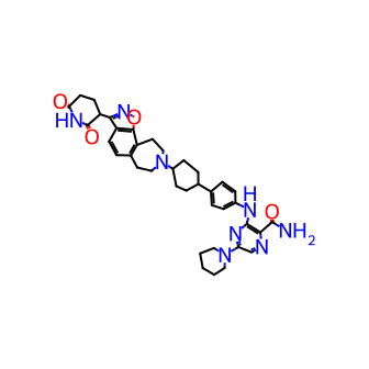 NC(=O)c1ncc(N2CCCCC2)nc1Nc1ccc(C2CCC(N3CCc4ccc5c(C6CCC(=O)NC6=O)noc5c4CC3)CC2)cc1